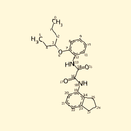 CCCC(CC)Oc1ccccc1NC(=O)C(=O)Nc1cccc2c1CCC2